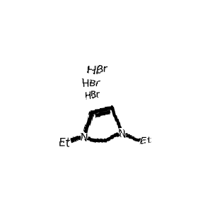 Br.Br.Br.CCN1C=CN(CC)C1